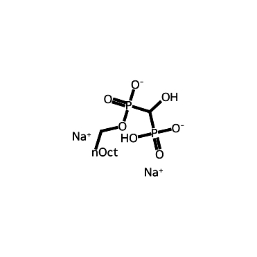 CCCCCCCCCOP(=O)([O-])C(O)P(=O)([O-])O.[Na+].[Na+]